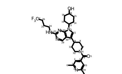 Cc1cc(C(=O)N2CCC(c3cn(C4CCC(O)CC4)c4nc(NCCCC(F)(F)F)ncc34)CC2)cc(C)n1